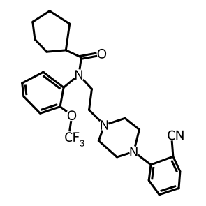 N#Cc1ccccc1N1CCN(CCN(C(=O)C2CCCCC2)c2ccccc2OC(F)(F)F)CC1